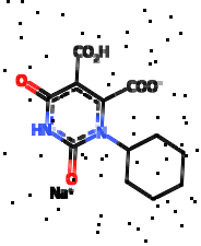 O=C(O)c1c(C(=O)[O-])n(C2CCCCC2)c(=O)[nH]c1=O.[Na+]